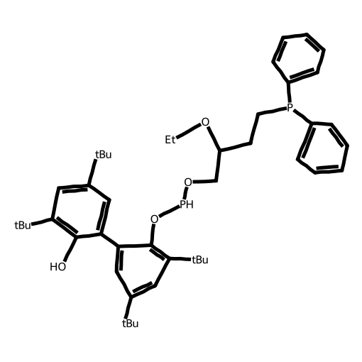 CCOC(CCP(c1ccccc1)c1ccccc1)COPOc1c(-c2cc(C(C)(C)C)cc(C(C)(C)C)c2O)cc(C(C)(C)C)cc1C(C)(C)C